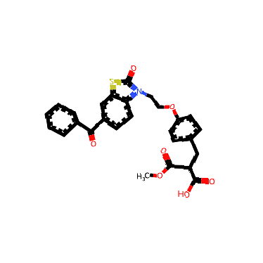 COC(=O)C(Cc1ccc(OCCn2c(=O)sc3cc(C(=O)c4ccccc4)ccc32)cc1)C(=O)O